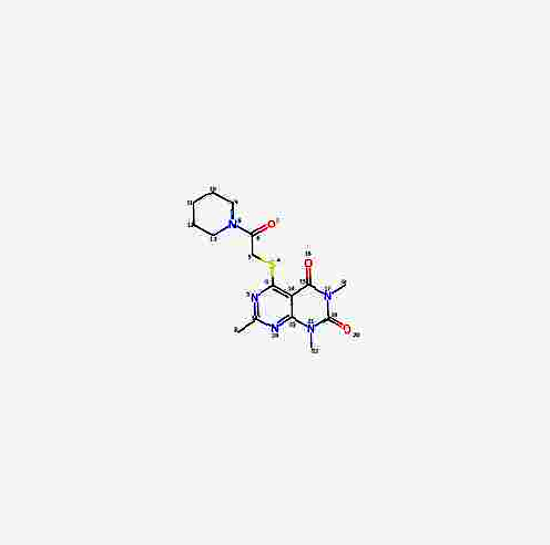 Cc1nc(SCC(=O)N2CCCCC2)c2c(=O)n(C)c(=O)n(C)c2n1